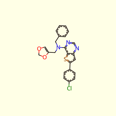 Clc1ccc(-c2cc3ncnc(N(CC4=COCO4)Cc4ccccc4)c3s2)cc1